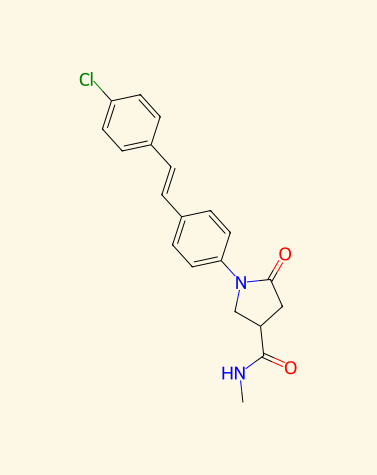 CNC(=O)C1CC(=O)N(c2ccc(C=Cc3ccc(Cl)cc3)cc2)C1